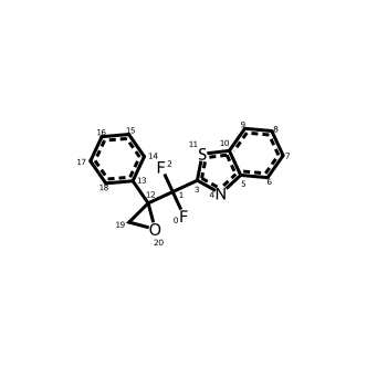 FC(F)(c1nc2ccccc2s1)C1(c2ccccc2)CO1